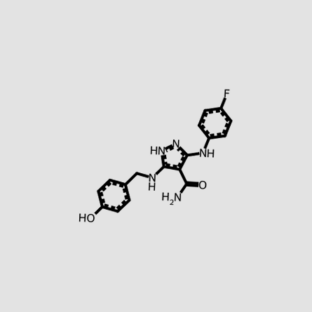 NC(=O)c1c(Nc2ccc(F)cc2)n[nH]c1NCc1ccc(O)cc1